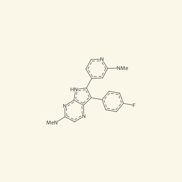 CNc1cc(-c2[nH]c3nc(NC)cnc3c2-c2ccc(F)cc2)ccn1